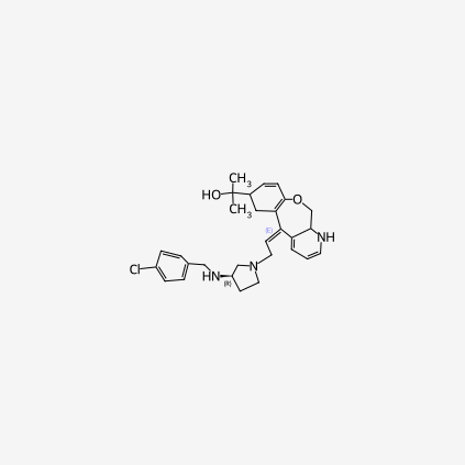 CC(C)(O)C1C=CC2=C(C1)/C(=C/CN1CC[C@@H](NCc3ccc(Cl)cc3)C1)C1=CC=CNC1CO2